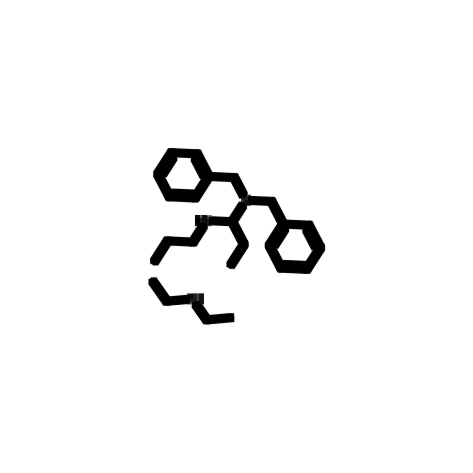 CCCNC(CC)N(Cc1ccccc1)Cc1ccccc1.CCNCC